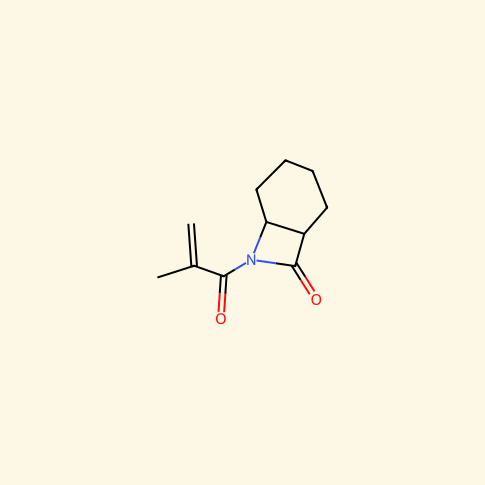 C=C(C)C(=O)N1C(=O)C2CCCCC21